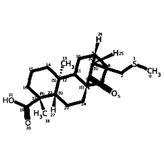 CSC[C@@H]1C(=O)[C@]23CC[C@H]1CC2[C@]1(C)CCC[C@@](C)(C(=O)O)[C@H]1CC3